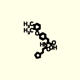 Cc1cccc(Oc2ccc(C=C(NC(=O)CCC3CCCC3)C(=O)O)cc2)c1C